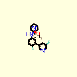 CC1CC2CC(C1)N2C(=O)Nc1ccc(F)c(-c2cncc(F)c2)c1